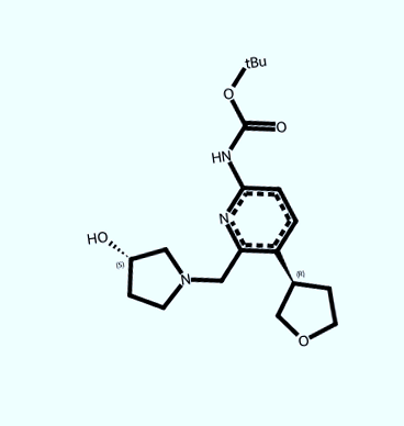 CC(C)(C)OC(=O)Nc1ccc([C@H]2CCOC2)c(CN2CC[C@H](O)C2)n1